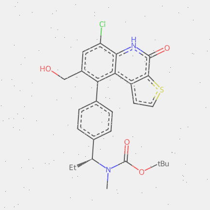 CC[C@@H](c1ccc(-c2c(CO)cc(Cl)c3[nH]c(=O)c4sccc4c23)cc1)N(C)C(=O)OC(C)(C)C